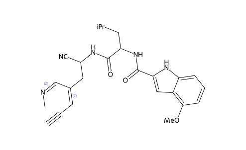 C#C/C=C(\C=N/C)CC(C#N)NC(=O)C(CC(C)C)NC(=O)c1cc2c(OC)cccc2[nH]1